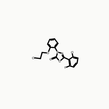 O=c1oc(-c2c(F)cccc2Cl)nn1-c1ccccc1OCCCl